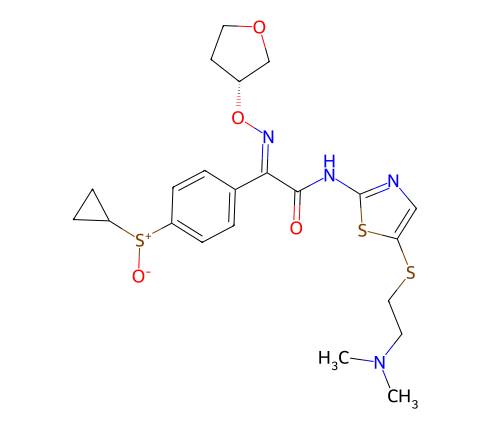 CN(C)CCSc1cnc(NC(=O)/C(=N/O[C@@H]2CCOC2)c2ccc([S+]([O-])C3CC3)cc2)s1